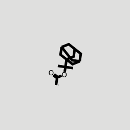 [CH2]C(=O)OC(C)(C)C12CC3CC(CC(C3)C1)C2